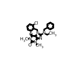 CCN(Cc1ccccc1)c1nc2c(c(=O)n(C)c(=O)n2C)n1Cc1c(F)cccc1Cl